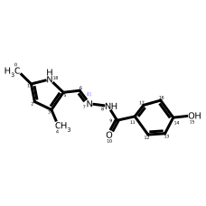 Cc1cc(C)c(/C=N/NC(=O)c2ccc(O)cc2)[nH]1